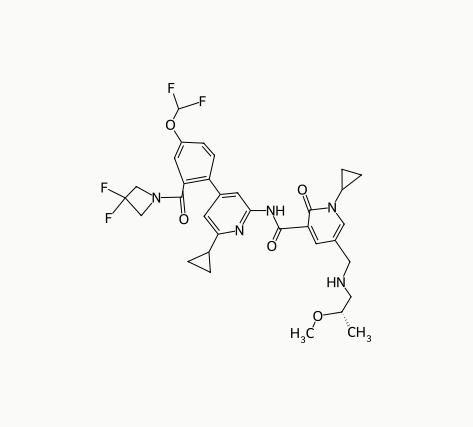 CO[C@@H](C)CNCc1cc(C(=O)Nc2cc(-c3ccc(OC(F)F)cc3C(=O)N3CC(F)(F)C3)cc(C3CC3)n2)c(=O)n(C2CC2)c1